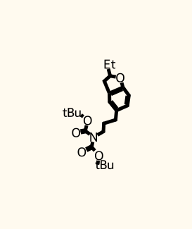 CCC1Cc2cc(CCCN(C(=O)OC(C)(C)C)C(=O)OC(C)(C)C)ccc2O1